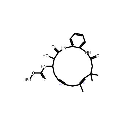 C/C1=C\C(C)(C)CC(=O)Nc2ccccc2NC(=O)C(O)C(NC(=O)OC(C)(C)C)C/C=C\C1